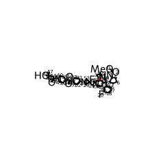 COC(=O)N[C@H]1CCC[C@@H]1C(CN1CCC1)(c1cccc(F)c1)C1CCN(CC2(F)CN(c3ccc(S(=O)(=O)C4CCN(C(=O)CC(C)(C)O)CC4)cc3)C2)CC1